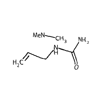 C=CCNC(N)=O.CNC